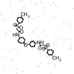 Cc1ccc(S(=O)(=O)CC(=O)Nc2ccc(Oc3ccc(NC(=O)CS(=O)(=O)c4ccc(C)cc4)cc3)cc2)cc1